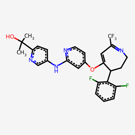 CC(C)(O)c1ccc(Nc2cc(OC3=CC(C(F)(F)F)=NCCC3c3c(F)cccc3F)ccn2)cn1